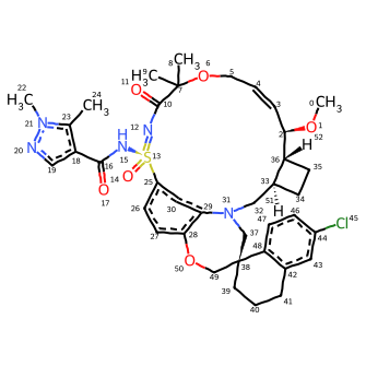 CO[C@@H]1C=CCOC(C)(C)C(=O)N=[S@](=O)(NC(=O)c2cnn(C)c2C)c2ccc3c(c2)N(C[C@@H]2CC[C@H]21)C[C@@]1(CCCc2cc(Cl)ccc21)CO3